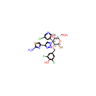 N#Cc1ncc(Cl)cc1[C@@]1(n2cc(-c3csc(N)n3)nn2)[C@H](O)[C@H](CO)O[C@@H](S)[C@H]1OCc1cc(F)c(O)c(F)c1